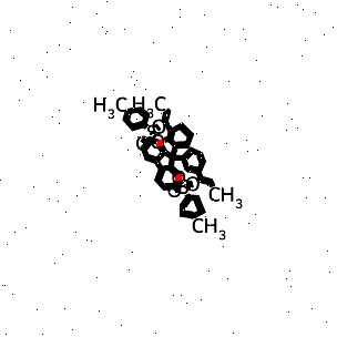 CC=Cc1cccc(C2(c3cccc(C=CC)c3OS(=O)(=O)c3ccc(C)cc3)c3ccccc3-c3ccccc32)c1OS(=O)(=O)c1ccc(C)cc1